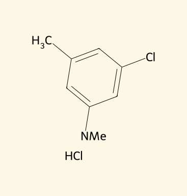 CNc1cc(C)cc(Cl)c1.Cl